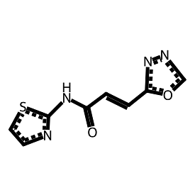 O=C(/C=C/c1nnco1)Nc1nccs1